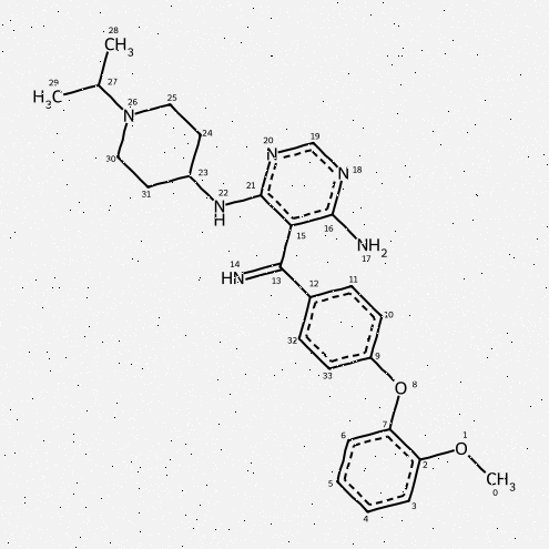 COc1ccccc1Oc1ccc(C(=N)c2c(N)ncnc2NC2CCN(C(C)C)CC2)cc1